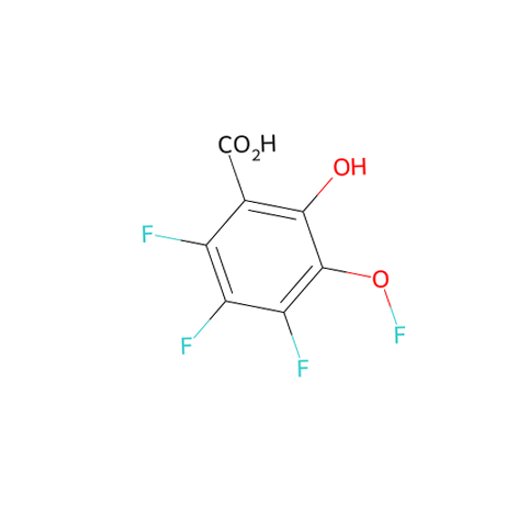 O=C(O)c1c(O)c(OF)c(F)c(F)c1F